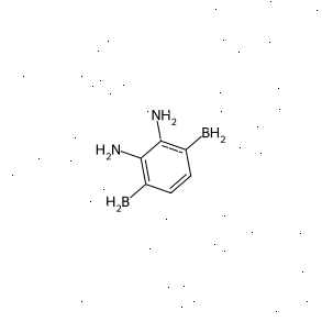 Bc1ccc(B)c(N)c1N